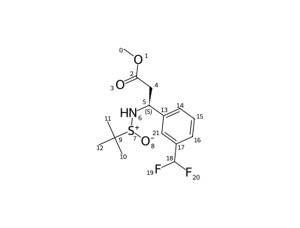 COC(=O)C[C@H](N[S+]([O-])C(C)(C)C)c1cccc(C(F)F)c1